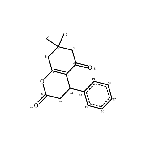 CC1(C)CC(=O)C2=C(C1)OC(=O)CC2c1ccccc1